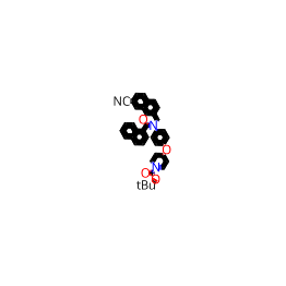 CC(C)(C)OC(=O)N1CCC(Oc2ccc(N(Cc3ccc4ccc(C#N)cc4c3)C(=O)c3cccc4ccccc34)cc2)CC1